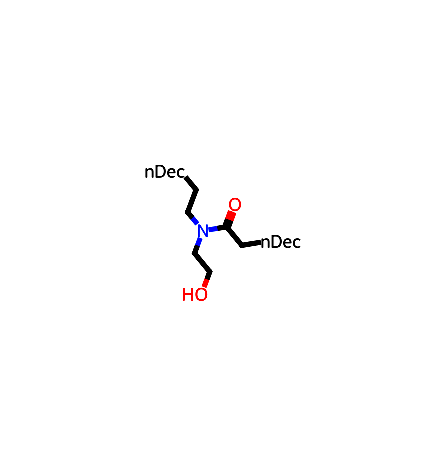 CCCCCCCCCCCCN(CCO)C(=O)CCCCCCCCCCC